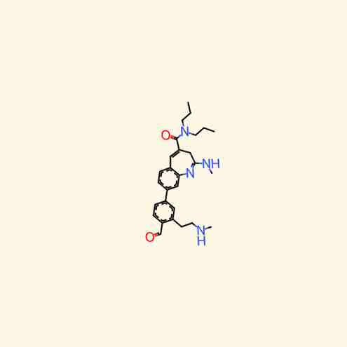 CCCN(CCC)C(=O)C1=Cc2ccc(-c3ccc(C=O)c(CCNC)c3)cc2N=C(NC)C1